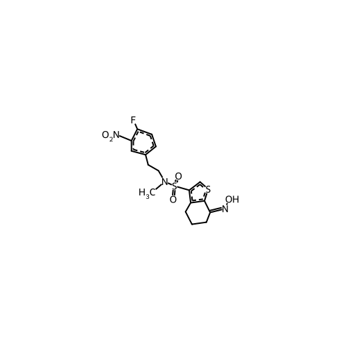 CN(CCc1ccc(F)c([N+](=O)[O-])c1)S(=O)(=O)c1csc2c1CCC/C2=N/O